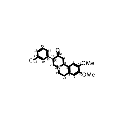 COc1cc2c(cc1OC)C1CC(=O)[C@H](c3cccc(Cl)c3)CN1CC2